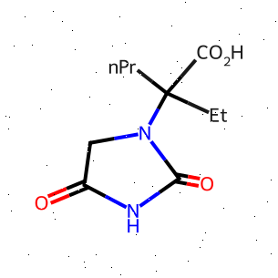 CCCC(CC)(C(=O)O)N1CC(=O)NC1=O